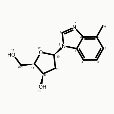 Cc1cccc2c1ncn2[C@H]1C[C@@H](O)[C@@H](CO)O1